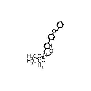 CC(C)(C)OC(=O)N1CCOc2nc(-c3ccc(OCc4ccccc4)cc3)ccc2C1